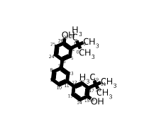 CC(C)(C)c1cc(-c2cccc(-c3ccc(O)c(C(C)(C)C)c3)c2)ccc1O